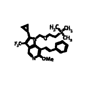 COc1ncc2c(C(F)(F)F)c(C3CC3)n(COCC[Si](C)(C)C)c2c1/C=C/c1ccccc1